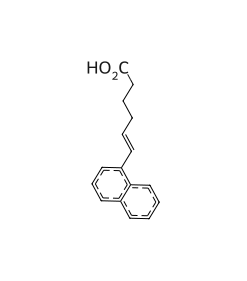 O=C(O)CCCC=Cc1cccc2ccccc12